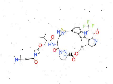 CO[C@@H](C)c1ncccc1-c1c2c3cc(ccc3n1CC(F)(F)F)-c1nc(ns1)C[C@H](NC(=O)C(COC1CN(C(=O)C#CC(C)(C)N(C)C)C1)C(C)C)C(=O)N1CCC[C@H](N1)C(=O)OCC(C)(C)C2